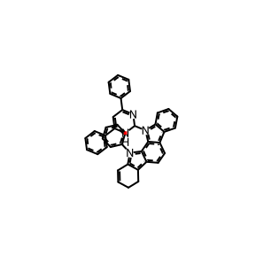 C1=Cc2c(c3ccc4c5ccccc5n(C5N=C(c6ccccc6)C=C(c6ccccc6)N5)c4c3n2-c2ccccc2)CC1